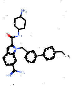 CCc1ccc(-c2cccc(Cn3c(C(=O)NC4CCC(N)CC4)cc4ccc(C(=N)N)cc43)c2)cc1